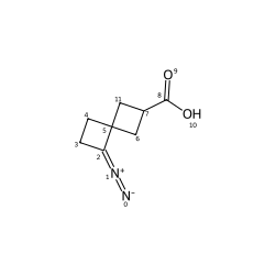 [N-]=[N+]=C1CCC12CC(C(=O)O)C2